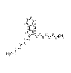 CCCCCCCCc1sc2c(sc3ccccc32)c1CCCCCCCC